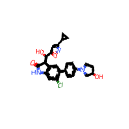 O=C1Nc2cc(Cl)c(-c3ccc(N4CCC(O)C4)cc3)cc2/C1=C(/O)c1cc(C2CC2)no1